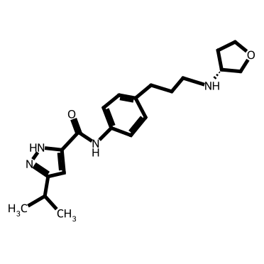 CC(C)c1cc(C(=O)Nc2ccc(CCCN[C@@H]3CCOC3)cc2)[nH]n1